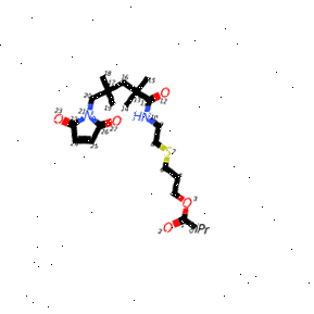 CC(C)C(=O)OCCCSCCNC(=O)C(C)(C)CC(C)(C)CN1C(=O)C=CC1=O